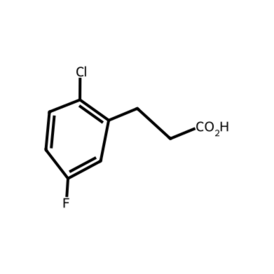 O=C(O)CCc1cc(F)ccc1Cl